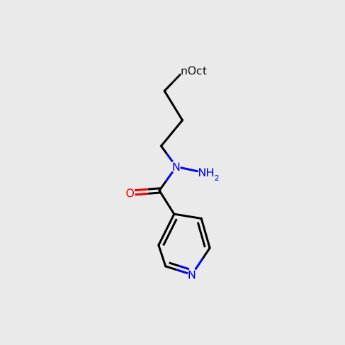 CCCCCCCCCCCN(N)C(=O)c1ccncc1